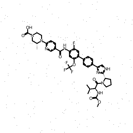 COC(=O)N[C@H](C(=O)N1CCC[C@H]1c1nc(-c2ccc(-c3cc(F)c(NC(=O)c4ccc(N5CCN(C(=O)O)C[C@H]5C)nc4)cc3OC(F)(F)F)cc2)c[nH]1)C(C)C